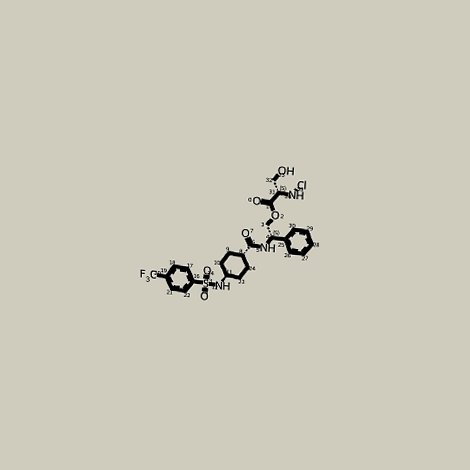 O=C(OC[C@@H](NC(=O)[C@H]1CC[C@H](NS(=O)(=O)c2ccc(C(F)(F)F)cc2)CC1)c1ccccc1)[C@H](CO)NCl